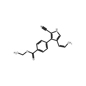 C/C=C\c1c[nH]c(C#N)c1-c1ccc(C(=O)OCC)cc1